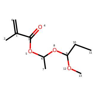 C=C(C)C(=O)OC(C)OC(CC)OC